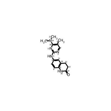 Cc1cnc(Nc2ccc3c(c2)CCC(=O)N3)nc1N(C)C